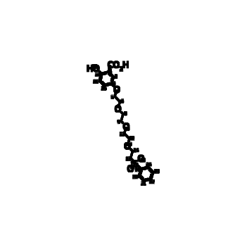 O=C(O)c1cc(OCCOCCOCCOCCS(=O)(=O)c2ccccc2)ccc1O